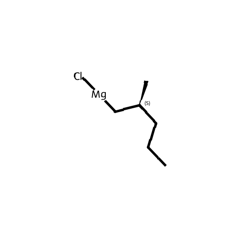 CCC[C@H](C)[CH2][Mg][Cl]